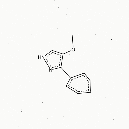 COc1c[nH]nc1-c1ccccc1